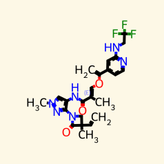 C=CC1(C)CN(c2nn(C)cc2NC(=O)/C(C)=C/OC(=C)c2ccnc(NCC(F)(F)F)c2)C1=O